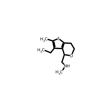 CCc1c(C)sc2c1C(CNC)OCC2